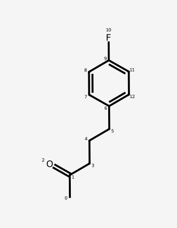 CC(=O)CCCc1ccc(F)cc1